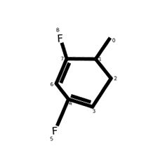 CC1CC=C(F)C=C1F